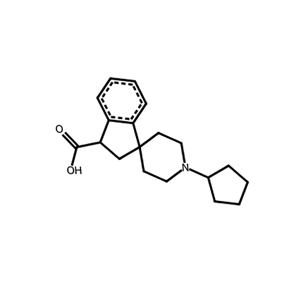 O=C(O)C1CC2(CCN(C3CCCC3)CC2)c2ccccc21